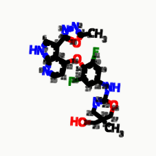 Cc1nnc(-c2c[nH]c3nccc(Oc4c(F)cc(NC5=NCC(C)(CO)CO5)cc4F)c23)o1